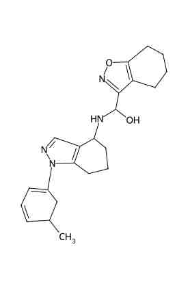 CC1C=CC=C(n2ncc3c2CCCC3NC(O)c2noc3c2CCCC3)C1